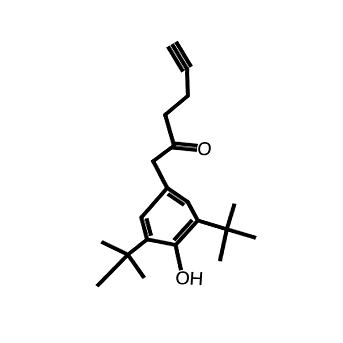 C#CCCC(=O)Cc1cc(C(C)(C)C)c(O)c(C(C)(C)C)c1